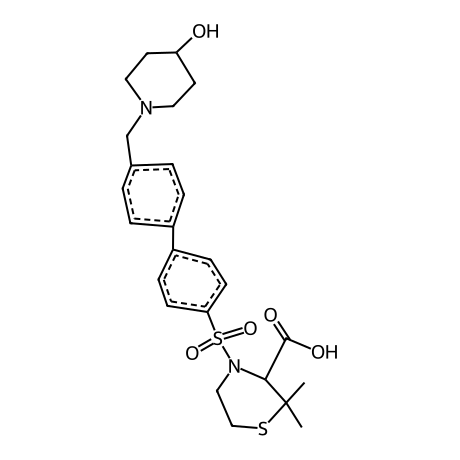 CC1(C)SCCN(S(=O)(=O)c2ccc(-c3ccc(CN4CCC(O)CC4)cc3)cc2)C1C(=O)O